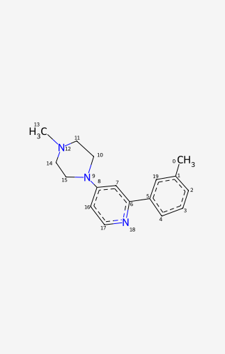 Cc1cccc(-c2cc(N3CCN(C)CC3)ccn2)c1